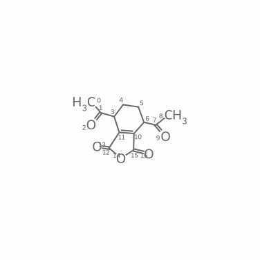 CC(=O)C1CCC(C(C)=O)C2=C1C(=O)OC2=O